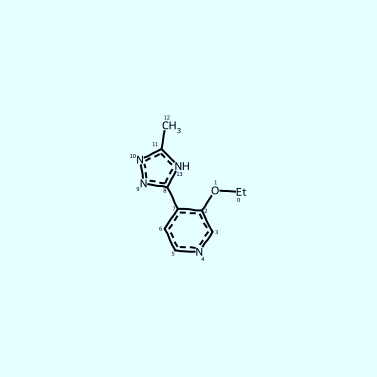 CCOc1cnccc1-c1nnc(C)[nH]1